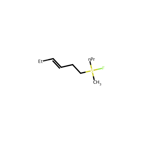 CCC=CCCS(C)(F)CCC